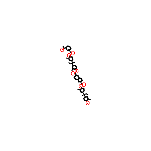 CCC(C)(c1ccc(OC)c(C)c1)c1ccc(OC(=O)c2ccc3cc(C(=O)Oc4ccc(C(C)(CC)c5ccc(OC(=O)c6cccc(C(C)=O)c6)c(C)c5)cc4C)ccc3c2)c(C)c1